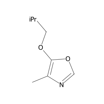 Cc1ncoc1OCC(C)C